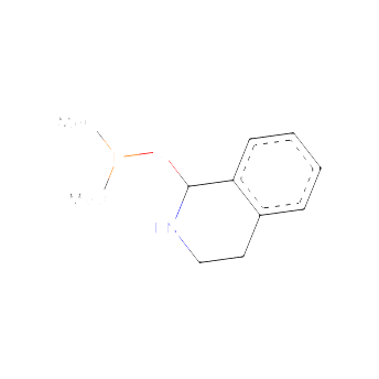 COP(OC)OC1NCCc2ccccc21